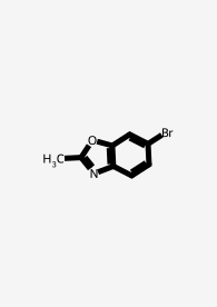 Cc1nc2ccc(Br)cc2o1